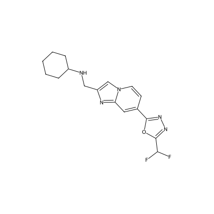 FC(F)c1nnc(-c2ccn3cc(CNC4CCCCC4)nc3c2)o1